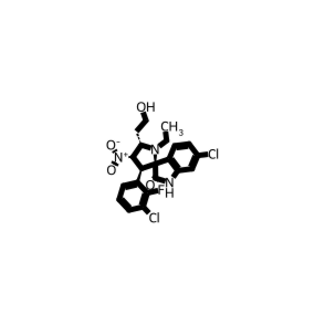 CCN1[C@@H](CCO)[C@@H]([N+](=O)[O-])[C@H](c2cccc(Cl)c2F)[C@]12C(=O)Nc1cc(Cl)ccc12